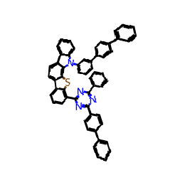 c1ccc(-c2ccc(-c3cccc(-n4c5ccccc5c5ccc6c7cccc(-c8nc(-c9ccccc9)nc(-c9ccc(-c%10ccccc%10)cc9)n8)c7sc6c54)c3)cc2)cc1